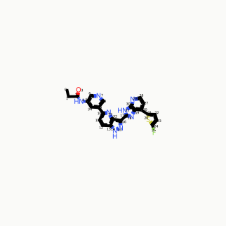 CCC(=O)Nc1cncc(-c2ccc3[nH]nc(-c4nc5c(-c6ccc(F)s6)ccnc5[nH]4)c3n2)c1